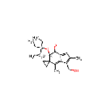 CC[Si](CC)(CC)O[C@@]1(C)C(=O)C2=CC(C)=C(CO)C2=C(C)C12CC2